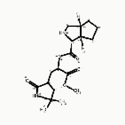 COC(=O)C(CC1CC(C)(C)NC1=O)NC(=O)[C@H]1NC[C@@H]2CCC[C@@H]21